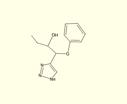 CCC(O)C(Oc1ccccc1)c1c[nH]nn1